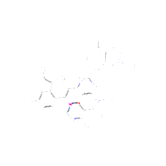 C[C@H](c1cncnc1N)N(C)c1nc(OC[C@]2(C)CN(C)CC[C@@H]2C(F)F)nc2c(F)c(-c3ccc(F)c4sc(N)c(C#N)c34)c(Cl)cc12